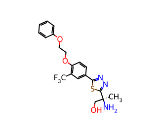 C[C@](N)(CO)c1nnc(-c2ccc(OCCOc3ccccc3)c(C(F)(F)F)c2)s1